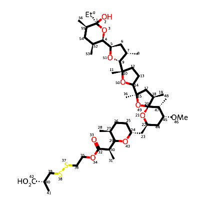 CC[C@]1(O)O[C@@H]([C@H]2C[C@H](C)[C@H]([C@]3(C)CCC([C@@]4(C)C[C@@H](C)[C@@]5(O[C@H](C[C@H]6CC[C@H](C)C([C@@H](C)C(=O)OCCSSC[C@H](C)C(=O)O)O6)C[C@@H](OC)[C@H]5C)O4)O3)O2)[C@@H](C)C[C@H]1C